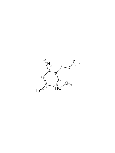 C=CCC1CCC(C)=CC1C.CO